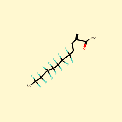 C=C(CCC(F)(F)C(F)(F)C(F)(F)C(F)(F)C(F)(F)C(F)(F)C(F)(F)C(F)(F)F)C(=O)OC